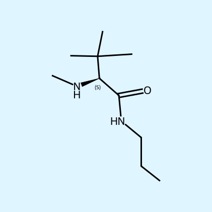 CCCNC(=O)[C@@H](NC)C(C)(C)C